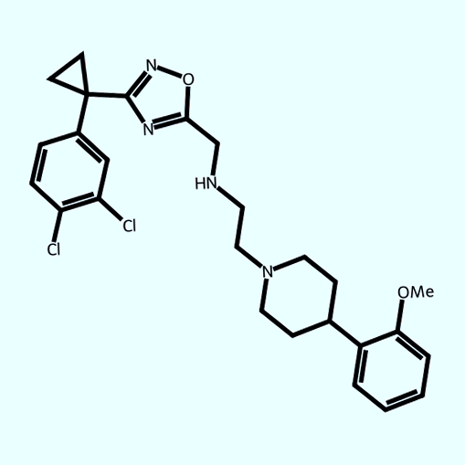 COc1ccccc1C1CCN(CCNCc2nc(C3(c4ccc(Cl)c(Cl)c4)CC3)no2)CC1